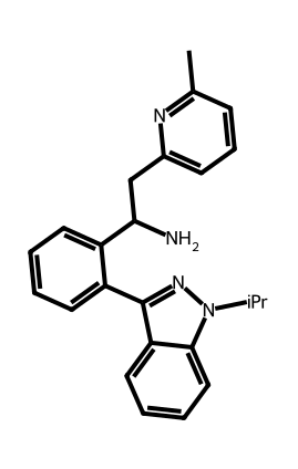 Cc1cccc(CC(N)c2ccccc2-c2nn(C(C)C)c3ccccc23)n1